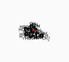 CC1C(O)[C@H](OC2OC(CO[C@]3(C(=O)O)C[C@@H](O)[C@@H](N)C(C(O)C(O)CO)O3)[C@H](O)[C@H](O)C2O)[C@H](CO)O[C@H]1O[C@@H]1C(O)[C@H](O)C(CO)O[C@@H]1OCC1O[C@@H](O[C@@H]2C(CO)O[C@@H](O[C@@H]3C(CO)O[C@@H](C)[C@@H](C)C3O)[C@@H](C)C2O)[C@H](O)C(O)[C@@H]1O